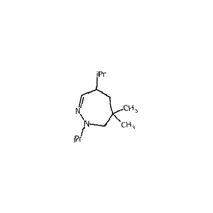 CC(C)C1C=NN(C(C)C)CC(C)(C)C1